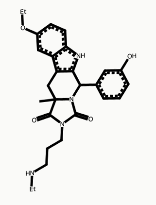 CCNCCCN1C(=O)N2C(c3cccc(O)c3)c3[nH]c4ccc(OCC)cc4c3CC2(C)C1=O